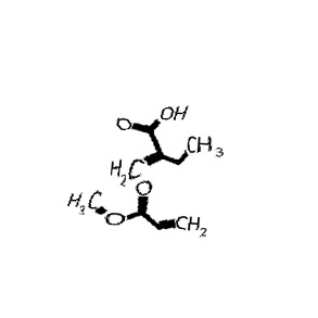 C=C(CC)C(=O)O.C=CC(=O)OC